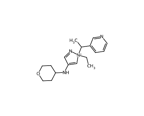 CC[N+]1(C(C)c2cccnc2)C=C(NC2CCOCC2)C=N1